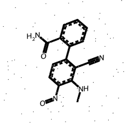 CNc1c(N=O)ccc(-c2ccccc2C(N)=O)c1C#N